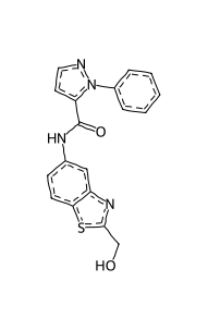 O=C(Nc1ccc2sc(CO)nc2c1)c1ccnn1-c1ccccc1